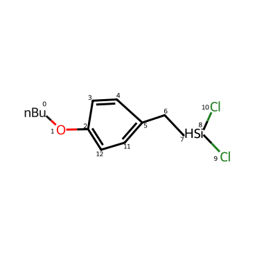 CCCCOc1ccc(CC[SiH](Cl)Cl)cc1